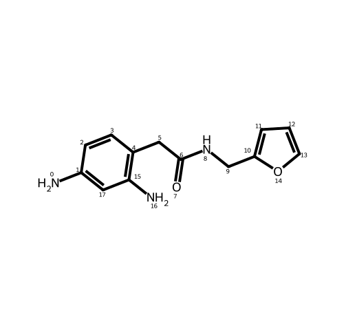 Nc1ccc(CC(=O)NCc2ccco2)c(N)c1